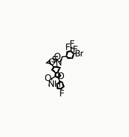 CNC(=O)c1c(-c2ccc(F)cc2)oc2cc(N(CCc3ccc(Br)c(C(F)(F)F)c3)S(C)(=O)=O)c(C3CC3)cc12